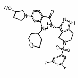 O=C(Nc1n[nH]c2c1CN(S(=O)(=O)c1cc(F)cc(F)c1)CC2)c1ccc(N2CCC(O)C2)cc1NC1CCOCC1